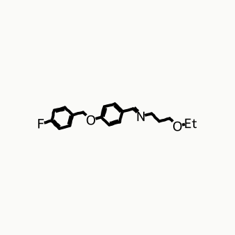 CCOCCC/N=C/c1ccc(OCc2ccc(F)cc2)cc1